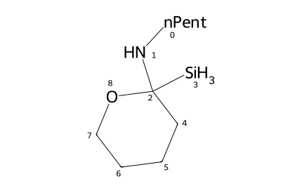 CCCCCNC1([SiH3])CCCCO1